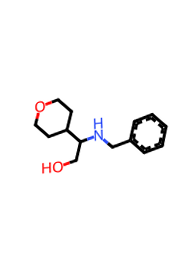 OCC(NCc1ccccc1)C1CCOCC1